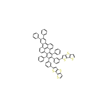 c1ccc(-c2cc3c(cc2-c2ccccc2)c2cccc4c5c(-c6ccccc6)c(-c6cccc(-c7cc8sc9ccsc9c8s7)c6)c(-c6cccc(-c7cc8sc9ccsc9c8s7)c6)c(-c6ccccc6)c5c5cccc3c5c24)cc1